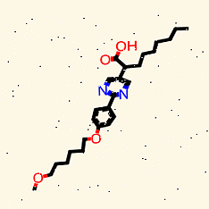 CCCCCCCC(C(=O)O)c1cnc(-c2ccc(OCCCCCCOC)cc2)nc1